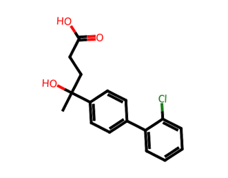 CC(O)(CCC(=O)O)c1ccc(-c2ccccc2Cl)cc1